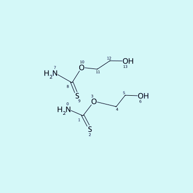 NC(=S)OCCO.NC(=S)OCCO